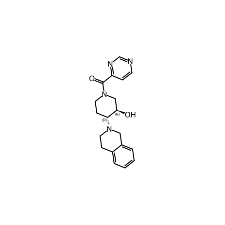 O=C(c1ccncn1)N1CC[C@@H](N2CCc3ccccc3C2)[C@H](O)C1